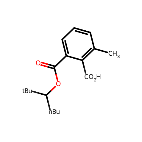 CCCCC(OC(=O)c1cccc(C)c1C(=O)O)C(C)(C)C